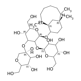 CC[C@@]12C[C@@H](CCC1O[C@@H]1OC(CO)[C@@H](O)C(O[C@]3(O)COC(CO)[C@@H](O)C3O)C1O[C@@H]1OC(CO)[C@@H](O)C(O)C1O)C(C)(C)CCCCC2C